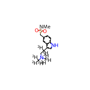 [2H]C([2H])(CN(C([2H])([2H])[2H])C([2H])([2H])[2H])c1c[nH]c2ccc(CS(=O)(=O)NC)cc12